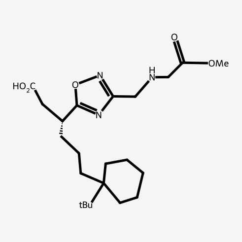 COC(=O)CNCc1noc([C@H](CCCC2(C(C)(C)C)CCCCC2)CC(=O)O)n1